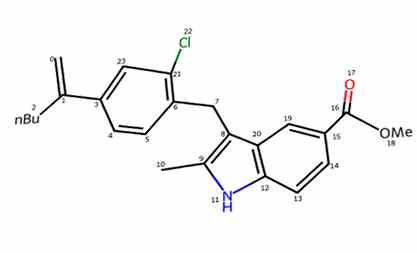 C=C(CCCC)c1ccc(Cc2c(C)[nH]c3ccc(C(=O)OC)cc23)c(Cl)c1